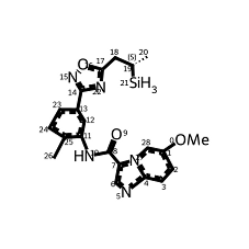 COc1ccc2ncc(C(=O)Nc3cc(-c4noc(C[C@H](C)[SiH3])n4)ccc3C)n2c1